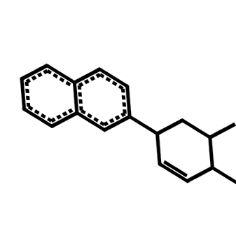 CC1C=CC(c2ccc3ccccc3c2)CC1C